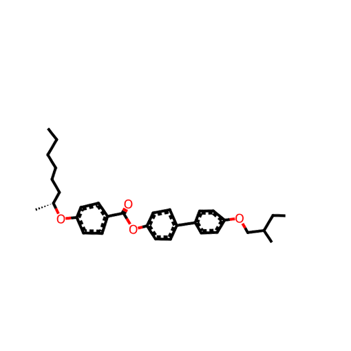 CCCCCC[C@@H](C)Oc1ccc(C(=O)Oc2ccc(-c3ccc(OCC(C)CC)cc3)cc2)cc1